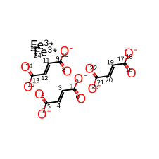 O=C([O-])C=CC(=O)[O-].O=C([O-])C=CC(=O)[O-].O=C([O-])C=CC(=O)[O-].[Fe+3].[Fe+3]